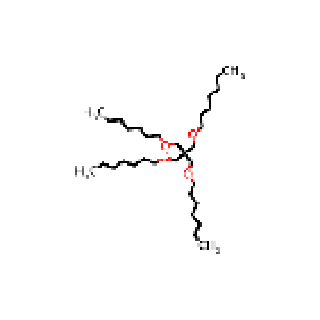 CCCCCCCOCC(COCCCCCCC)(COCCCCCCC)COCCCCCCC